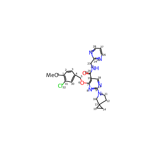 COc1ccc(COc2nc(N3CCC4(CC4)C3)ncc2C(=O)NCc2ncccn2)cc1Cl